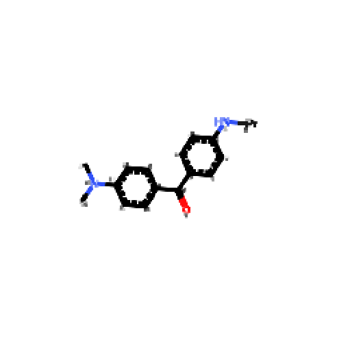 CC(C)Nc1ccc(C(=O)c2ccc(N(C)C)cc2)cc1